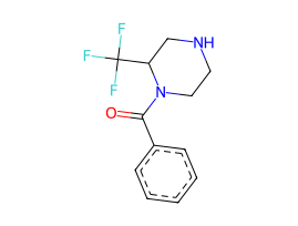 O=C(c1ccccc1)N1CCNCC1C(F)(F)F